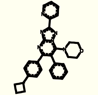 c1ccc(-c2c(-c3ccc([C]4CCC4)cc3)nc3nc(-c4ccccn4)nn3c2N2CCOCC2)cc1